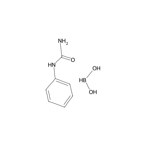 NC(=O)Nc1ccccc1.OBO